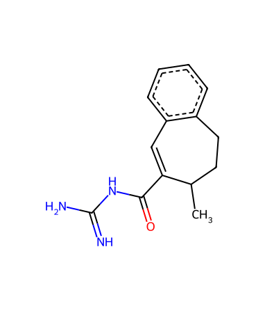 CC1CCc2ccccc2C=C1C(=O)NC(=N)N